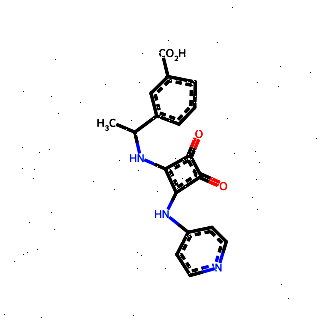 CC(Nc1c(Nc2ccncc2)c(=O)c1=O)c1cccc(C(=O)O)c1